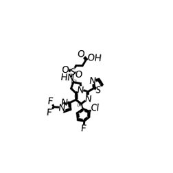 O=C(O)CCS(=O)(=O)N[C@H]1CC2=C(c3ccn(C(F)F)n3)[C@H](c3ccc(F)cc3Cl)N=C(c3nccs3)N2C1